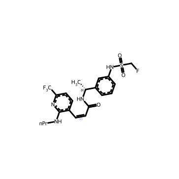 CCCNc1nc(C(F)(F)F)ccc1/C=C\C(=O)N[C@H](C)c1cccc(NS(=O)(=O)CF)c1